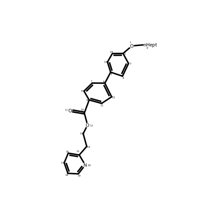 CCCCCCCOc1ccc(-c2ccc(C(=O)OCCc3ccccn3)cc2)cc1